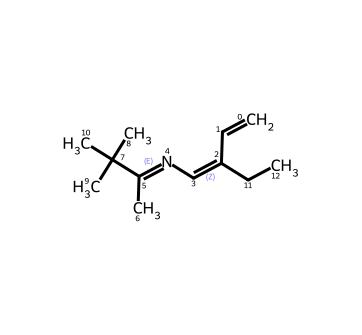 C=C/C(=C\N=C(/C)C(C)(C)C)CC